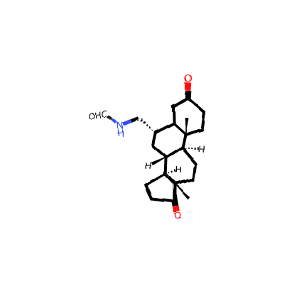 C[C@]12CCC(=O)CC1[C@@H](CNC=O)C[C@@H]1[C@@H]2CC[C@]2(C)C(=O)CC[C@@H]12